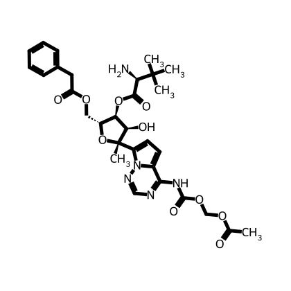 CC(=O)OCOC(=O)Nc1ncnn2c([C@]3(C)O[C@H](COC(=O)Cc4ccccc4)[C@@H](OC(=O)[C@@H](N)C(C)(C)C)[C@H]3O)ccc12